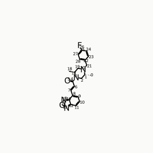 C[C@@H]1CN(C(=O)C=Cc2cccc3nonc23)[C@@H](C)CN1Cc1ccc(F)cc1